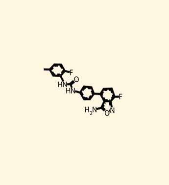 Cc1ccc(F)c(NC(=O)Nc2ccc(-c3ccc(F)c4noc(N)c34)cc2)c1